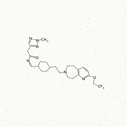 Cn1ncc(CC(=O)/N=C\C2CCC(CCN3CCc4ccc(OCC(F)(F)F)nc4CC3)CC2)n1